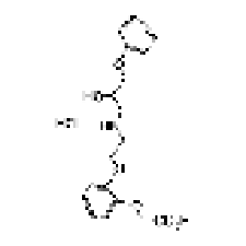 Cl.O=C(O)COc1ccccc1OCCNCC(O)COc1ccccc1